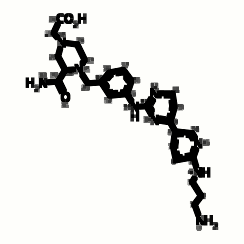 NCCCNc1ccc(-c2ccnc(Nc3cccc(CN4CCN(CC(=O)O)CC4C(N)=O)c3)n2)cn1